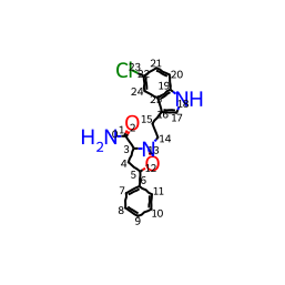 NC(=O)C1CC(c2ccccc2)ON1CCc1c[nH]c2ccc(Cl)cc12